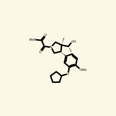 CNC(=O)C(=O)N1C[C@@H](c2ccc(OC)c(OC3CCCC3)c2)[C@](C)([C@@H](C)O)C1